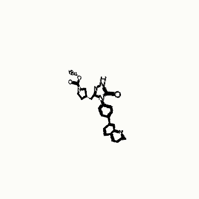 CC(C)(C)OC(=O)N1CC[C@@H](Cc2n[nH]c(=O)n2-c2ccc(-c3ccc4cccnc4c3)cc2)C1